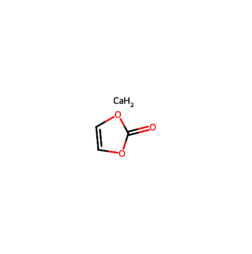 O=c1occo1.[CaH2]